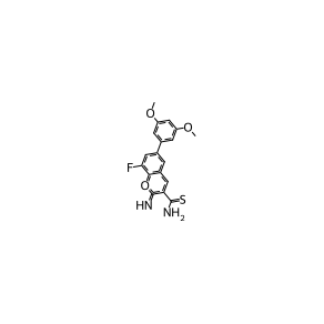 COc1cc(OC)cc(-c2cc(F)c3oc(=N)c(C(N)=S)cc3c2)c1